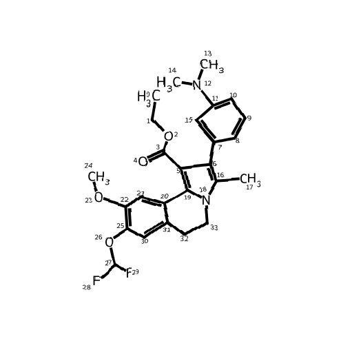 CCOC(=O)c1c(-c2cccc(N(C)C)c2)c(C)n2c1-c1cc(OC)c(OC(F)F)cc1CC2